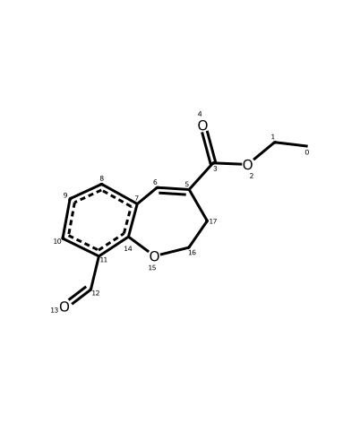 CCOC(=O)C1=Cc2cccc(C=O)c2OCC1